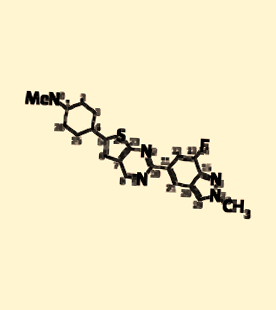 CNC1CCC(c2cc3cnc(-c4cc(F)c5nn(C)cc5c4)nc3s2)CC1